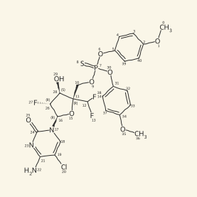 COc1ccc(OP(=S)(OC[C@@]2(C(F)F)O[C@@H](n3cc(Cl)c(N)nc3=O)[C@H](F)[C@H]2O)Oc2ccc(OC)cc2)cc1